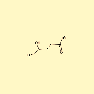 CCCC(=O)CCC(C)O